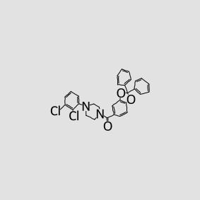 O=C(c1ccc2c(c1)OC(c1ccccc1)(c1ccccc1)O2)N1CCN(c2cccc(Cl)c2Cl)CC1